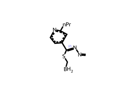 BCS/C(=N\N=C)c1ccnc(CCC)c1